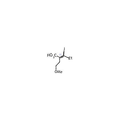 CC/C(I)=C(\CCOC)C(=O)O